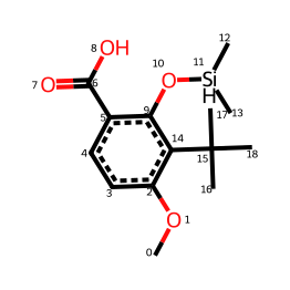 COc1ccc(C(=O)O)c(O[SiH](C)C)c1C(C)(C)C